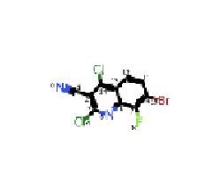 N#Cc1c(Cl)nc2c(F)c(Br)ccc2c1Cl